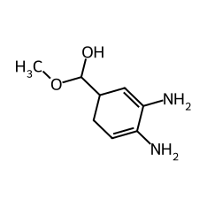 COC(O)C1C=C(N)C(N)=CC1